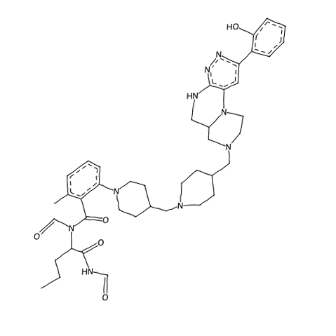 CCCC(C(=O)NC=O)N(C=O)C(=O)c1c(C)cccc1N1CCC(CN2CCC(CN3CCN4c5cc(-c6ccccc6O)nnc5NCC4C3)CC2)CC1